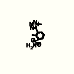 Cc1c(-c2nnnn2C)cccc1S(N)(=O)=O